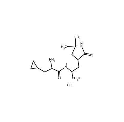 CC1(C)CC(CC(NC(=O)C(N)CC2CC2)C(=O)O)C(=O)N1.Cl